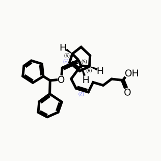 O=C(O)CCC/C=C\C[C@@H]1/C(=C\OC(c2ccccc2)c2ccccc2)[C@@H]2C=C[C@H]1CC2